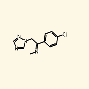 CN=C(Cn1cncn1)c1ccc(Cl)cc1